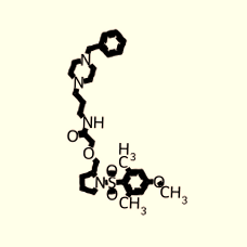 COc1cc(C)c(S(=O)(=O)N2CCCC2COCC(=O)NCCCN2CCN(Cc3ccccc3)CC2)c(C)c1